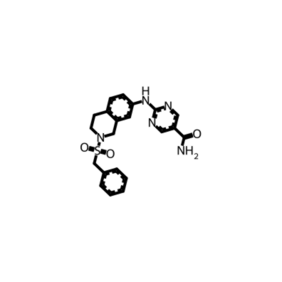 NC(=O)c1cnc(Nc2ccc3c(c2)CN(S(=O)(=O)Cc2ccccc2)CC3)nc1